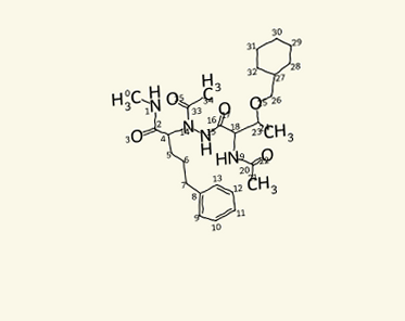 CNC(=O)C(CCCc1ccccc1)N(NC(=O)C(NC(C)=O)C(C)OCC1CCCCC1)C(C)=O